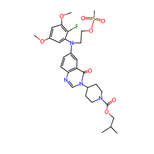 COc1cc(OC)c(F)c(N(CCOS(C)(=O)=O)c2ccc3ncn(C4CCN(C(=O)OCC(C)C)CC4)c(=O)c3c2)c1